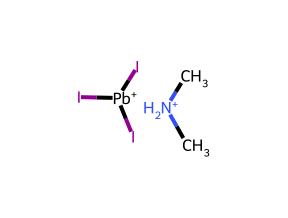 C[NH2+]C.[I][Pb+]([I])[I]